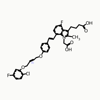 Cc1c(CCCC(=O)O)c2c(F)ccc(C=Cc3ccc(OC/C=C/COc4cc(F)ccc4Cl)cc3)c2n1CC(=O)O